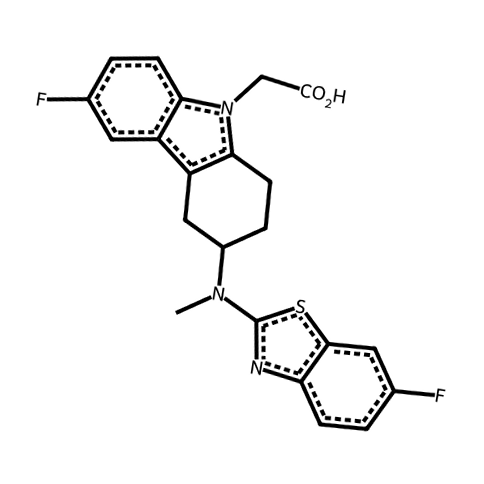 CN(c1nc2ccc(F)cc2s1)C1CCc2c(c3cc(F)ccc3n2CC(=O)O)C1